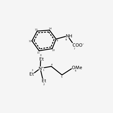 CC[N+](CC)(CC)CCOC.O=C([O-])Nc1ccccc1